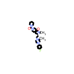 C[C@H]1CN(c2ccc(F)cc2)CCN1CC[C@H]1CC2(CCN(C(=O)N3CCCCC3)CC2)C(=O)N1C